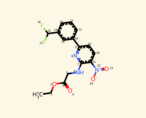 CCOC(=O)CNc1nc(-c2cccc(C(F)F)c2)ccc1[N+](=O)[O-]